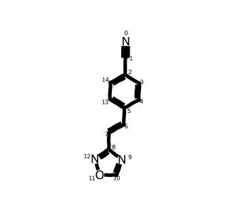 N#Cc1ccc(/C=C/c2ncon2)cc1